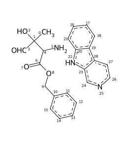 CC(O)(C=O)C(N)C(=O)OCc1ccccc1.c1ccc2c(c1)[nH]c1cnccc12